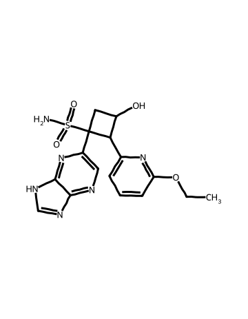 CCOc1cccc(C2C(O)CC2(c2cnc3nc[nH]c3n2)S(N)(=O)=O)n1